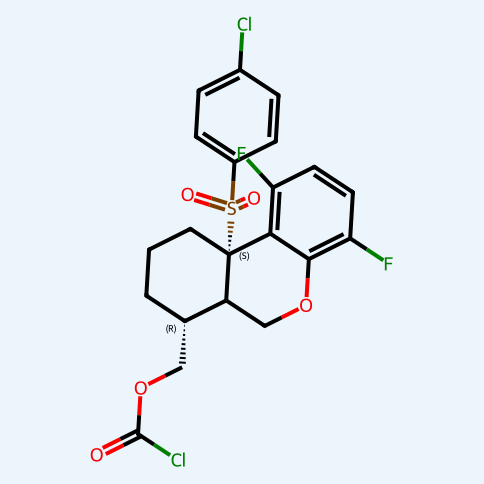 O=C(Cl)OC[C@@H]1CCC[C@@]2(S(=O)(=O)c3ccc(Cl)cc3)c3c(F)ccc(F)c3OCC12